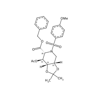 COc1ccc(S(=O)(=O)N2C[C@@H]3OC(C)(C)O[C@@H]3[C@@H](OC(C)=O)[C@@H]2C(=O)OCc2ccccc2)cc1